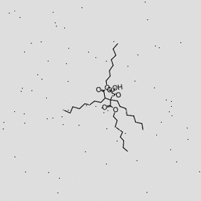 CCCCCCCCOC(=O)C(CCCCCCCC)C(CCCCCCCC)(C(=O)OCCCCCCCC)S(=O)(=O)O